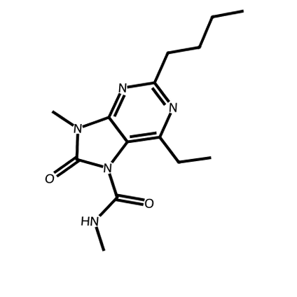 CCCCc1nc(CC)c2c(n1)n(C)c(=O)n2C(=O)NC